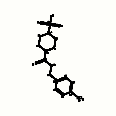 CS(=O)(=O)N1CCN(C(=S)SCc2ccc([N+](=O)[O-])cc2)CC1